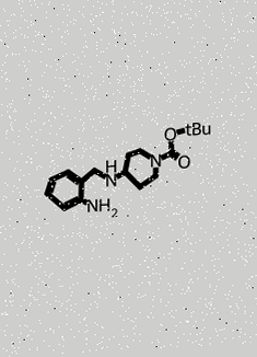 CC(C)(C)OC(=O)N1CCC(NCc2ccccc2N)CC1